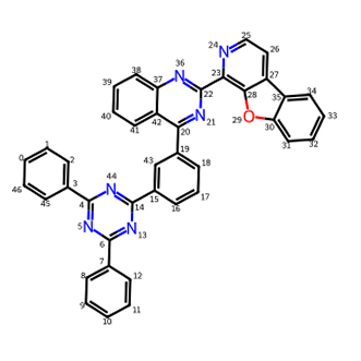 c1ccc(-c2nc(-c3ccccc3)nc(-c3cccc(-c4nc(-c5nccc6c5oc5ccccc56)nc5ccccc45)c3)n2)cc1